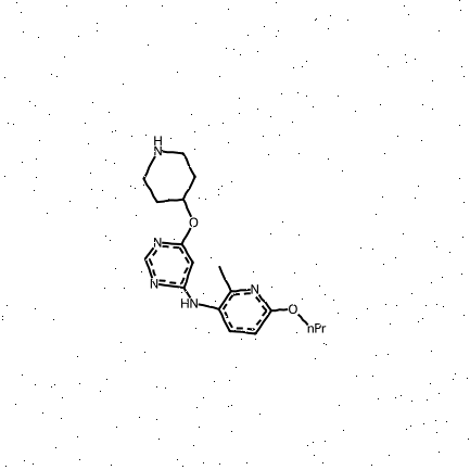 CCCOc1ccc(Nc2cc(OC3CCNCC3)ncn2)c(C)n1